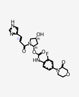 O=C(Nc1ccc(N2CCOCC2=O)cc1F)O[C@@H]1C[C@@H](O)CN1C(=O)/C=C/c1c[nH]cn1